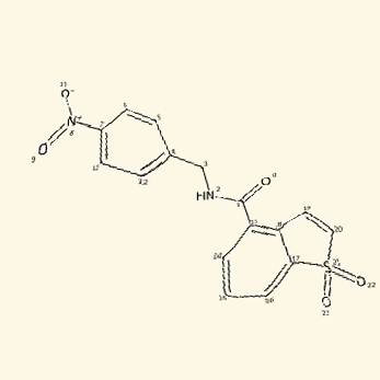 O=C(NCc1ccc([N+](=O)[O-])cc1)c1cccc2c1C=CS2(=O)=O